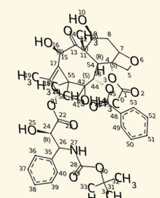 CC(=O)O[C@@]12COC1C[C@H](O)[C@@]1(C)C(=O)[C@H](O)C3=C(C)[C@@H](OC(=O)[C@H](O)C(NC(=O)OC(C)(C)C)c4ccccc4)CC(O)([C@@H](OC(=O)c4ccccc4)[C@@H]12)C3(C)C